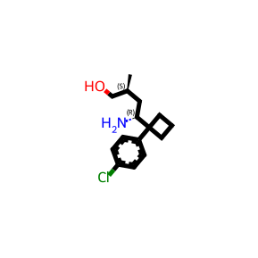 C[C@H](CO)C[C@@H](N)C1(c2ccc(Cl)cc2)CCC1